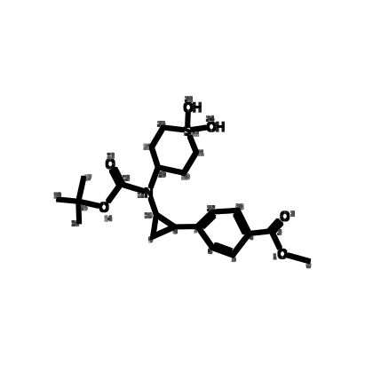 COC(=O)c1ccc(C2CC2N(C(=O)OC(C)(C)C)C2CCS(O)(O)CC2)cc1